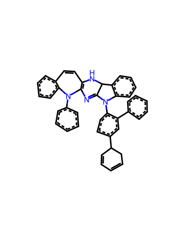 C1=CCC(c2ccc(N3C4=NC5=C(C=Cc6ccccc6N5c5ccccc5)NC4c4ccccc43)c(-c3ccccc3)c2)C=C1